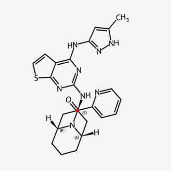 Cc1cc(Nc2nc(N[C@@H]3C[C@H]4CCC[C@@H](C3)N4C(=O)c3ccccn3)nc3sccc23)n[nH]1